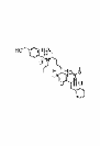 CCCN([C@H](CO)CCC[C@@H](NC(=O)[C@H](Cc1ccccc1Cl)NC(=O)OC)C(F)(F)F)S(=O)(=O)c1ccc(CO)cc1